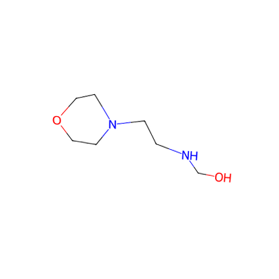 OCNCCN1CCOCC1